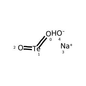 O=[Te]=O.[Na+].[OH-]